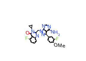 COc1ccc(-c2nn(Cc3nc4cccc(F)c4c(=O)n3C3CC3)c3ncnc(N)c23)cc1F